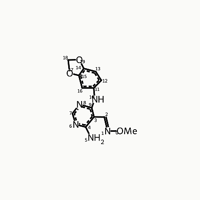 CO/N=C/c1c(N)ncnc1Nc1ccc2c(c1)OCO2